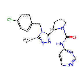 Cc1nnc([C@H]2CCCN2C(=O)Nc2ccncn2)n1Cc1ccc(Cl)cc1